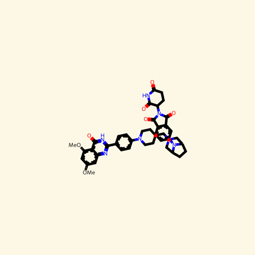 COc1cc(OC)c2c(=O)[nH]c(-c3ccc(N4CCC(CN5CC6CCC(C5)N6c5ccc6c(c5)C(=O)N(C5CCC(=O)NC5=O)C6=O)CC4)cc3)nc2c1